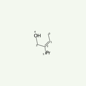 CC=C(CO)C(C)C